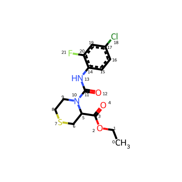 CCOC(=O)C1CSCCN1C(=O)Nc1ccc(Cl)cc1F